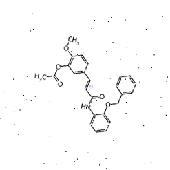 COc1ccc(/C=C/C(=O)Nc2ccccc2OCc2ccccc2)cc1OC(C)=O